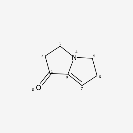 O=C1CCN2CCC=C12